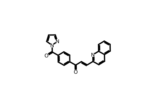 O=C(C=Cc1ccc2ccccc2n1)c1ccc(C(=O)n2cccn2)cc1